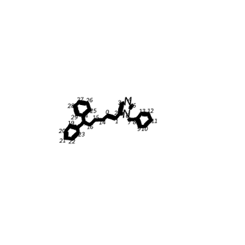 C(=Cc1cncn1Cc1ccccc1)CCCC(c1ccccc1)c1ccccc1